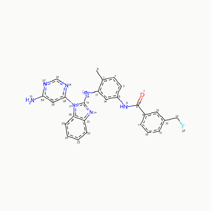 Cc1ccc(NC(=O)c2cccc(CF)c2)cc1Nc1nc2ccccc2n1-c1cc(N)ncn1